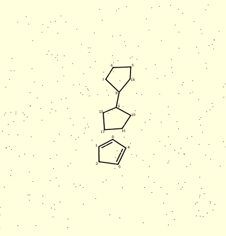 C1=CCC=C1.C1CCC(C2CCCC2)C1